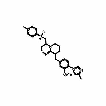 COc1cc(CC2CCCN3C2=NOCC3CS(=O)(=O)c2ccc(C)cc2)ccc1-n1cnc(C)c1